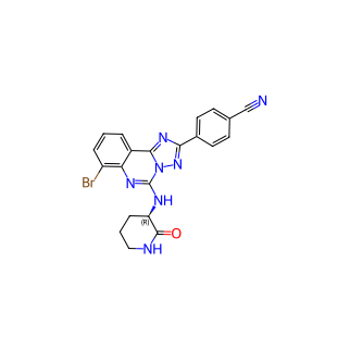 N#Cc1ccc(-c2nc3c4cccc(Br)c4nc(N[C@@H]4CCCNC4=O)n3n2)cc1